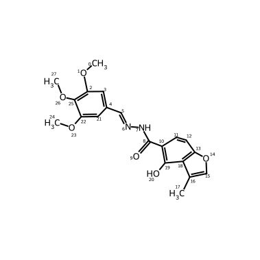 COc1cc(C=NNC(=O)c2ccc3occ(C)c3c2O)cc(OC)c1OC